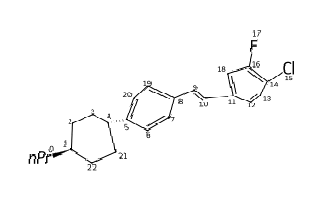 CCC[C@H]1CC[C@H](c2ccc(/C=C/c3ccc(Cl)c(F)c3)cc2)CC1